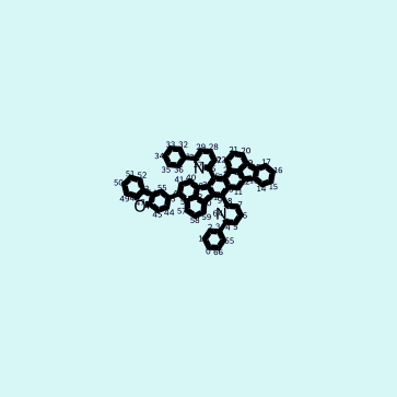 c1ccc(-c2cccc(-c3c4cc5c6ccccc6c6cccc(c4c(-c4cccc(-c7ccccc7)n4)c4c7ccc(-c8ccc9oc%10ccccc%10c9c8)c8cccc(c34)c87)c65)n2)cc1